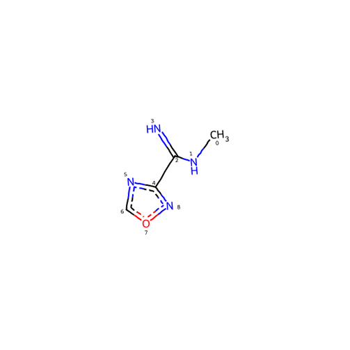 CNC(=N)c1ncon1